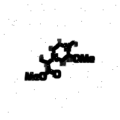 COC(=O)C(C)N1CCN(C)C(OC)C1